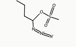 CCCC(N=[N+]=[N-])OS(C)(=O)=O